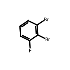 Fc1cc[c]c(Br)c1Br